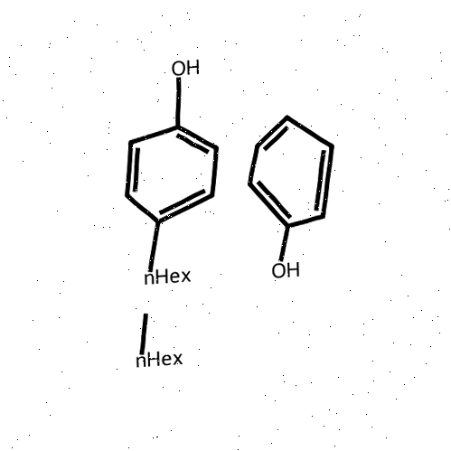 CCCCCCc1ccc(O)cc1.CCC[CH]CCC.Oc1ccccc1